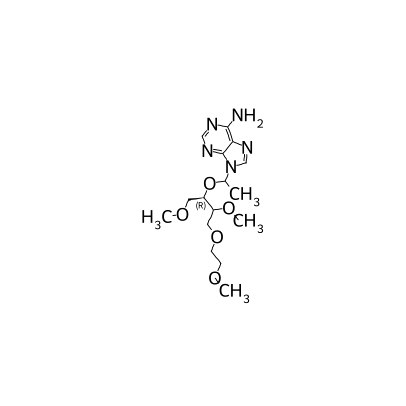 COCCOCC(OC)[C@@H](COC)OC(C)n1cnc2c(N)ncnc21